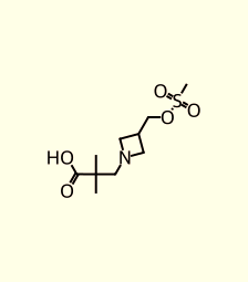 CC(C)(CN1CC(COS(C)(=O)=O)C1)C(=O)O